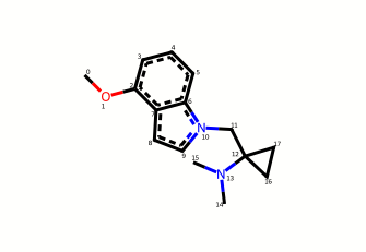 COc1cccc2c1ccn2CC1(N(C)C)CC1